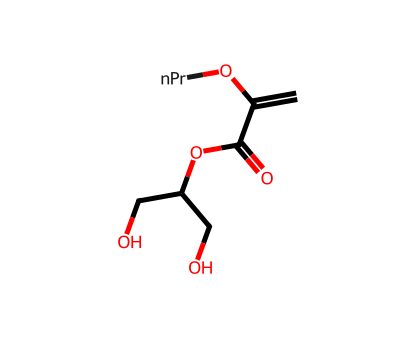 C=C(OCCC)C(=O)OC(CO)CO